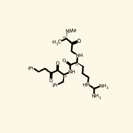 CN[C@@H](C)C(=O)CN[C@@H](CCCNC(N)N)C(=O)N[C@@H](CC(C)C)C(=O)C(=O)CCC(C)C